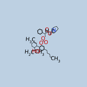 C=C(C)C1CCC(C)=CC1c1c(O)cc(CCCCC)cc1OC(=O)OCC(C(=O)OC1CC2CCC(C1)N2C)c1ccccc1